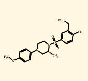 Cc1ccc(S(=O)(=O)N2CCN(c3ccc(OC(F)(F)F)cc3)C[C@@H]2C)cc1CC(=O)O